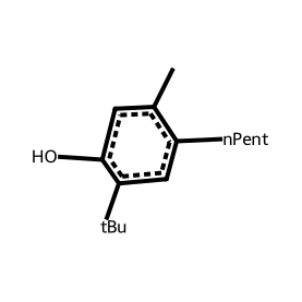 CCCCCc1cc(C(C)(C)C)c(O)cc1C